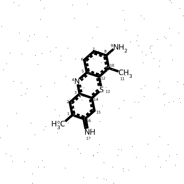 Cc1cc2nc3ccc(N)c(C)c3sc-2cc1=N